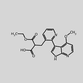 CCOC(=O)C(Cc1cccnc1-c1c[nH]c2nccc(OC)c12)C(=O)O